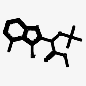 COC(=O)C(OC(C)(C)C)c1sc2cccc(C)c2c1Br